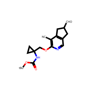 CC(C)(C)OC(=O)NC1(COc2ncc3c(c2C#N)CC(C=O)C3)CC1